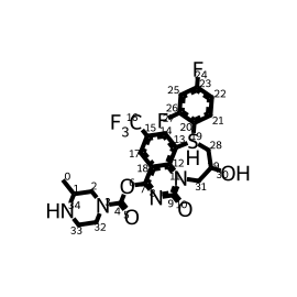 CC1CN(C(=O)Oc2nc(=O)n3c4c(cc(C(F)(F)F)cc24)[SH](c2ccc(F)cc2F)CC(O)C3)CCN1